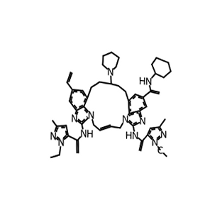 C=Cc1cc2c3c(c1)nc(NC(=C)c1cc(C)nn1CC)n3C/C=C/Cn1c(NC(=C)c3cc(C)nn3CC)nc3cc(C(=C)NC4CCCCC4)cc(c31)CCC(N1CCCCC1)CC2